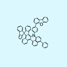 c1ccc(-c2ccc(N(c3ccc(-c4cccc5c4oc4ccccc45)cc3)c3c4c(c5ccccc5c3-c3ccccc3)C3(c5ccccc5-c5ccccc53)c3ccccc3-4)cc2)cc1